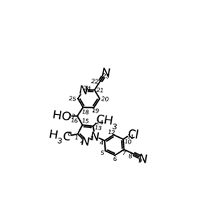 Cc1nn(-c2ccc(C#N)c(Cl)c2)c(C)c1C(O)c1ccc(C#N)nc1